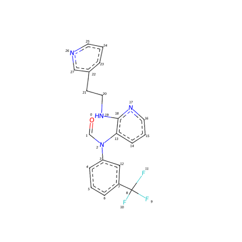 O=CN(c1cccc(C(F)(F)F)c1)c1cccnc1NCCc1cccnc1